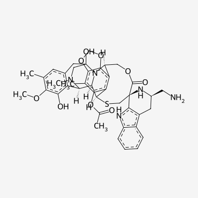 COc1c(C)cc2c(c1O)[C@@H]1[C@@H]3[C@@H]4SC[C@]5(N[C@@H](CN)Cc6c5[nH]c5ccccc65)C(=O)OC[C@@H](c5c6c(c(C)c(OC(C)=O)c54)OCO6)N3C(O)(C2)CN1C